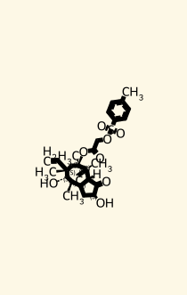 C=C[C@]1(C)C[C@@H](OC(=O)COS(=O)(=O)c2ccc(C)cc2)[C@]2(C)[C@H](C)CC[C@]3(C[C@H](O)C(=O)[C@H]32)[C@@H](C)[C@@H]1O